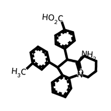 Cc1cccc(C(c2ccccc2N2CCCCC2)C(C(N)=O)c2ccc(C(=O)O)cc2)c1